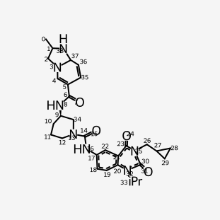 CC1CN2C=C(C(=O)N[C@@H]3CCCN(C(=O)Nc4ccc5c(c4)c(=O)n(CC4CC4)c(=O)n5C(C)C)C3)C=CC2N1